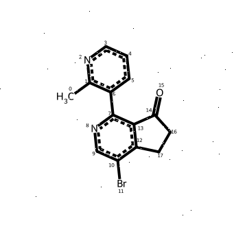 Cc1ncccc1-c1ncc(Br)c2c1C(=O)CC2